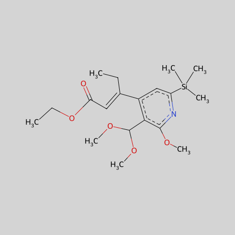 CCOC(=O)C=C(CC)c1cc([Si](C)(C)C)nc(OC)c1C(OC)OC